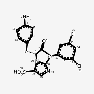 Nc1ccc(C[C@@H]2C(=O)N(c3cc(Cl)cc(Cl)c3)c3ncc(S(=O)(=O)O)n32)cc1